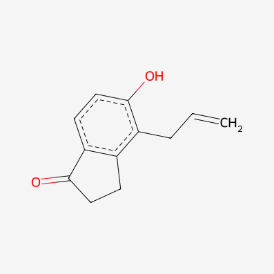 C=CCc1c(O)ccc2c1CCC2=O